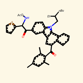 CCCCC(CC)Cn1c2ccc(C(=O)C(NOC(C)=O)c3cccs3)cc2c2cc(C(=O)c3c(C)cc(C)cc3C)c3ccccc3c21